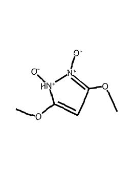 COC1=CC(OC)=[N+]([O-])[NH+]1[O-]